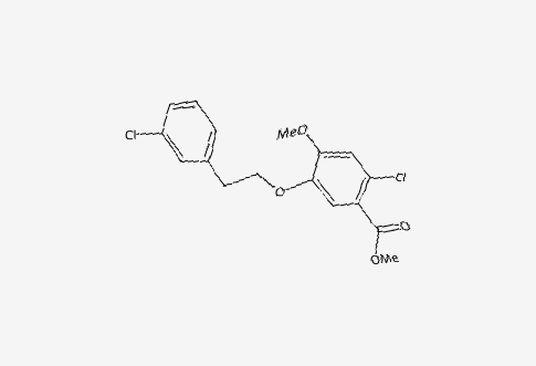 COC(=O)c1cc(OCCc2cccc(Cl)c2)c(OC)cc1Cl